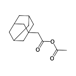 CC(=O)OC(=O)CC12CC3CC(CC(C3)C1)C2